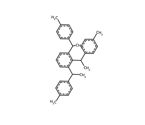 Cc1ccc(C(C)c2[c]ccc(C(C)c3ccc(C)cc3)c2C(C)c2ccc(C)cc2)cc1